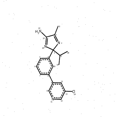 CC1=NC(c2cccc(-c3cncc(Cl)c3)c2)(C(C)C)N=C1N